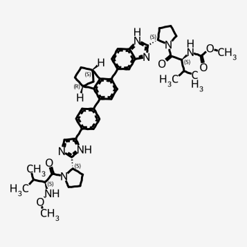 CON[C@H](C(=O)N1CCC[C@H]1c1ncc(-c2ccc(-c3ccc(-c4ccc5[nH]c([C@@H]6CCCN6C(=O)[C@@H](NC(=O)OC)C(C)C)nc5c4)c4c3[C@@H]3CC[C@H]4C3)cc2)[nH]1)C(C)C